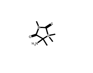 CN1C(=O)C(C)(N)S(C)(C)C1=S